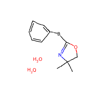 CC1(C)COC([B]c2ccccc2)=N1.O.O